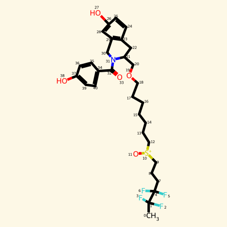 CC(F)(F)C(F)(F)CCC[S+]([O-])CCCCCCCOCC1Cc2ccc(O)cc2CN1C(=O)c1ccc(O)cc1